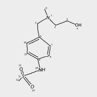 CN(CCO)Cc1ccc(NS(C)(=O)=O)cc1